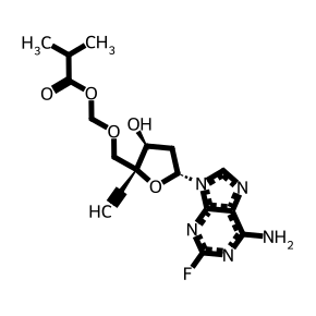 C#C[C@]1(COCOC(=O)C(C)C)O[C@@H](n2cnc3c(N)nc(F)nc32)C[C@@H]1O